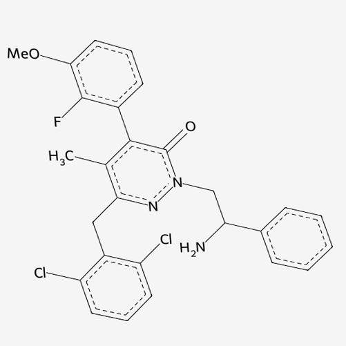 COc1cccc(-c2c(C)c(Cc3c(Cl)cccc3Cl)nn(CC(N)c3ccccc3)c2=O)c1F